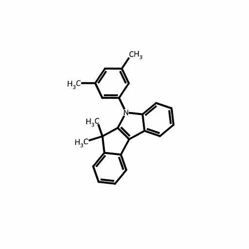 Cc1cc(C)cc(-n2c3c(c4ccccc42)-c2ccccc2C3(C)C)c1